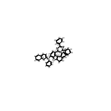 C1=CC2=CC=C(N(c3ccccc3)c3ccc(-c4nc(-c5ccccc5)nc(-c5ccccc5)n4)c4c3oc3ccc5ccccc5c34)CC2C=C1